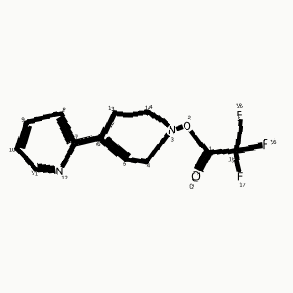 O=C(ON1CC=C(c2ccccn2)CC1)C(F)(F)F